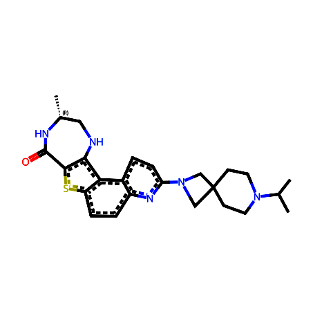 CC(C)N1CCC2(CC1)CN(c1ccc3c(ccc4sc5c(c43)NC[C@@H](C)NC5=O)n1)C2